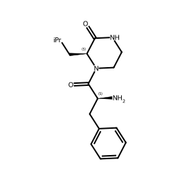 CC(C)C[C@H]1C(=O)NCCN1C(=O)[C@@H](N)Cc1ccccc1